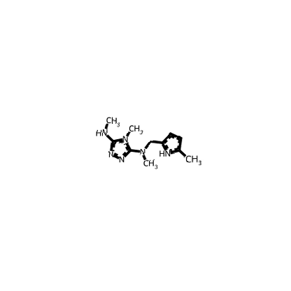 CNc1nnc(N(C)Cc2ccc(C)[nH]2)n1C